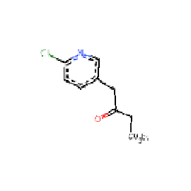 CCOC(=O)CC(=O)Cc1ccc(Cl)nc1